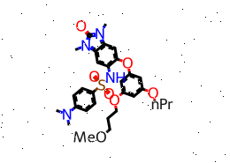 CCCOc1cc(OCCCOC)cc(Oc2cc3c(cc2NS(=O)(=O)c2ccc(N(C)C)cc2)n(C)c(=O)n3C)c1